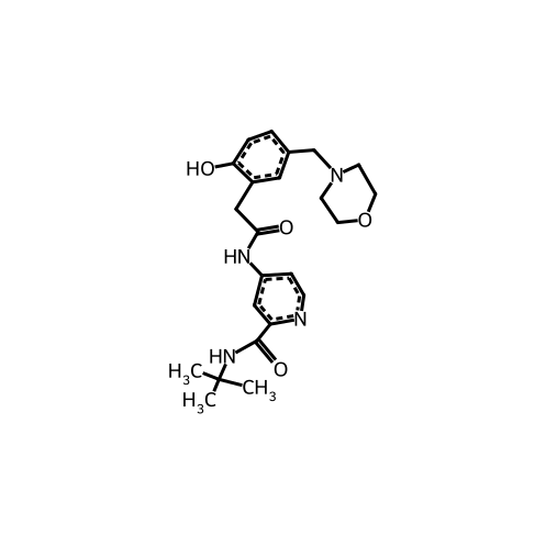 CC(C)(C)NC(=O)c1cc(NC(=O)Cc2cc(CN3CCOCC3)ccc2O)ccn1